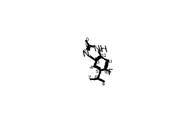 Cc1nc2cc(C(C)C)c(F)cc2[nH]1